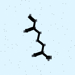 C=CC(=O)CCCC(=O)O